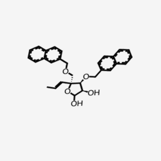 C/C=C/[C@]1(COCc2ccc3ccccc3c2)OC(O)[C@H](O)[C@@H]1OCc1ccc2ccccc2c1